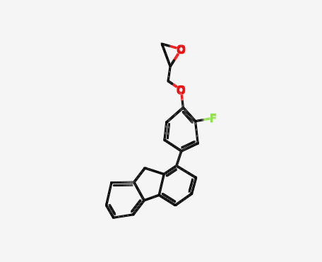 Fc1cc(-c2cccc3c2Cc2ccccc2-3)ccc1OCC1CO1